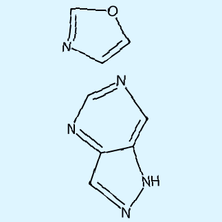 c1cocn1.c1ncc2[nH]ncc2n1